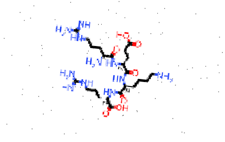 N=C(N)NCCC[C@H](NC(=O)[C@H](CCCCN)NC(=O)[C@H](CCC(=O)O)NC(=O)[C@@H](N)CCCNC(=N)N)C(=O)O